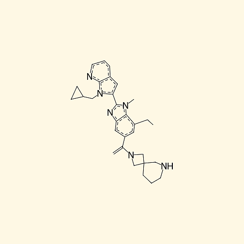 C=C(c1cc(CC)c2c(c1)nc(-c1cc3cccnc3n1CC1CC1)n2C)N1CC2(CCCNC2)C1